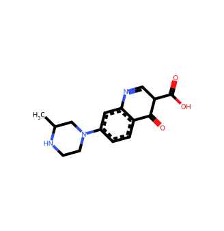 CC1CN(c2ccc3c(c2)N=CC(C(=O)O)C3=O)CCN1